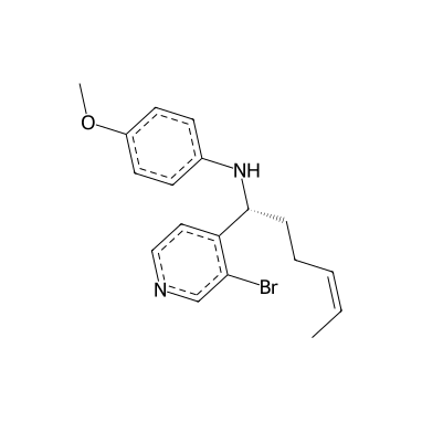 C/C=C\CC[C@@H](Nc1ccc(OC)cc1)c1ccncc1Br